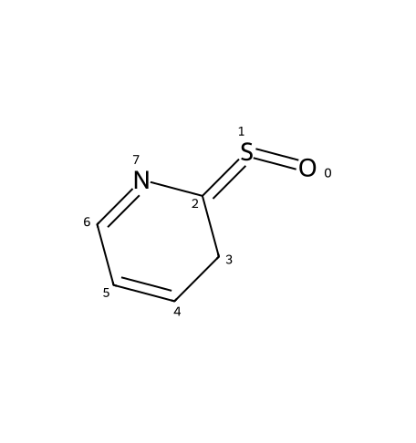 O=S=C1CC=CC=N1